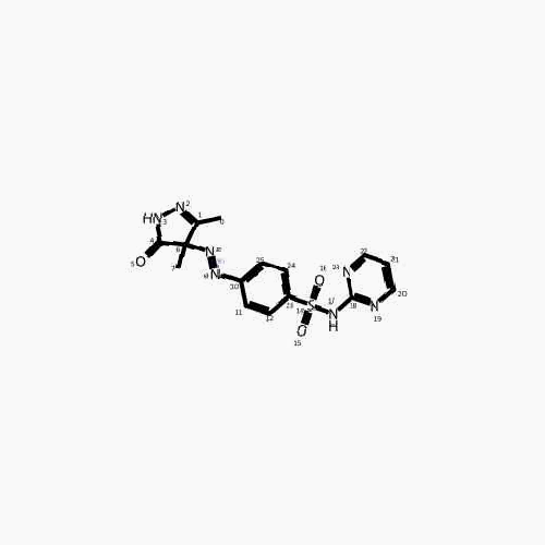 CC1=NNC(=O)C1(C)/N=N/c1ccc(S(=O)(=O)Nc2ncccn2)cc1